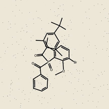 COc1ccc(Br)c(OC)c1P(=O)(C(=O)c1ccccc1)C(=O)c1c(C)cc(C(C)(C)C)cc1C